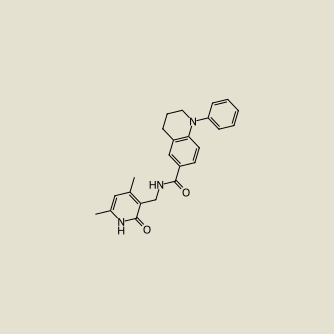 Cc1cc(C)c(CNC(=O)c2ccc3c(c2)CCCN3c2ccccc2)c(=O)[nH]1